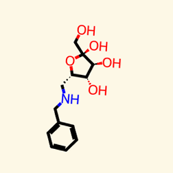 OC[C@@]1(O)O[C@@H](CNCc2ccccc2)[C@@H](O)[C@@H]1O